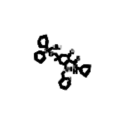 CC1(CO[Si](c2ccccc2)(c2ccccc2)C(C)(C)C)CC(=O)C(C(=S)Nc2ccccc2)=C(NCc2ccccn2)C1